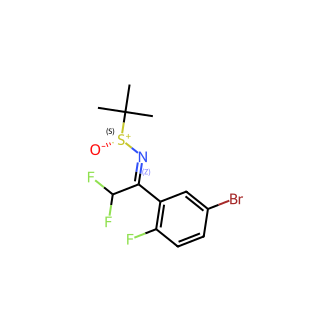 CC(C)(C)[S@@+]([O-])/N=C(/c1cc(Br)ccc1F)C(F)F